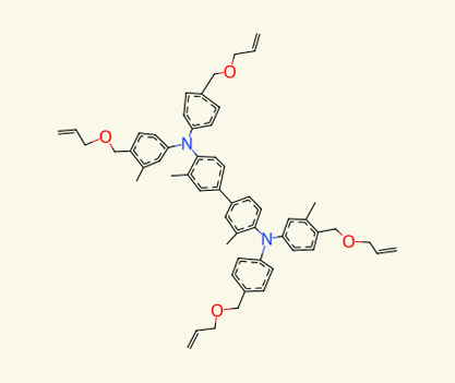 C=CCOCc1ccc(N(c2ccc(COCC=C)c(C)c2)c2ccc(-c3ccc(N(c4ccc(COCC=C)cc4)c4ccc(COCC=C)c(C)c4)c(C)c3)cc2C)cc1